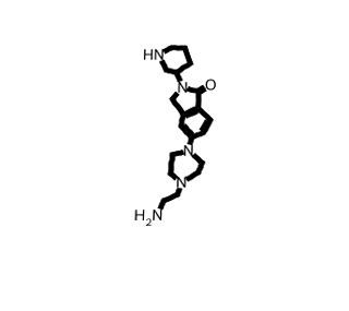 NCCN1CCN(c2ccc3c(c2)CN(C2CCCNC2)C3=O)CC1